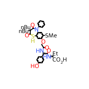 CCCCC1(CCCC)C(=O)[SH]c2cc(OCC(=O)N[C@@H](C(=O)N[C@@H](CC)C(=O)O)c3ccc(O)cc3)c(SC)cc2N(c2ccccc2)C1=O